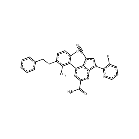 Cc1ccc(OCc2ccccc2)c(C)c1-c1cc(C(N)=O)nc2c1c(C#N)cn2-c1ncccc1F